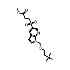 COC(=O)CCS(=O)(=O)c1cnc2c(ccn2COCC[Si](C)(C)C)c1